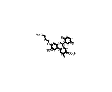 COCCCOc1cc2c(cc1C#N)-c1cc(=O)c(C(=O)O)cn1C(c1cc(C)ccc1F)O2